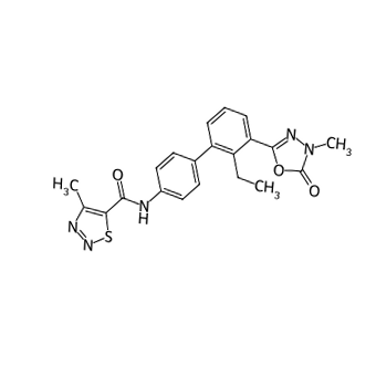 CCc1c(-c2ccc(NC(=O)c3snnc3C)cc2)cccc1-c1nn(C)c(=O)o1